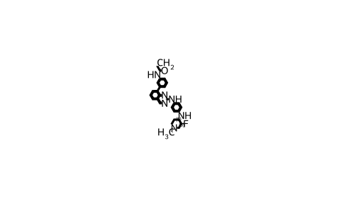 C=CC(=O)Nc1cccc(-c2cccc3cnc(Nc4ccc(N[C@H]5CCN(C)C[C@@H]5F)cc4)nc23)c1